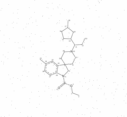 CCOC(=O)N1CC2(CCN(C(CC)C3CCC(C)C3)CC2)c2cc(C)ccc21